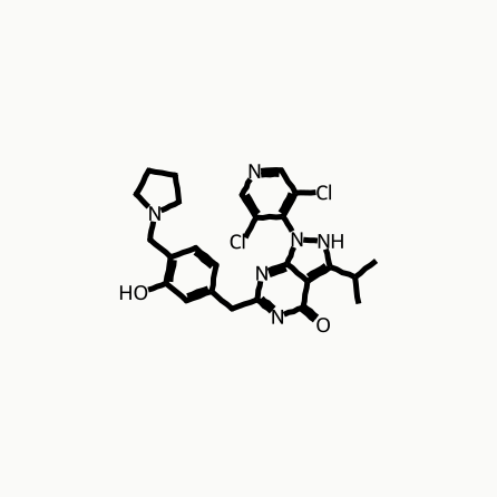 CC(C)c1[nH]n(-c2c(Cl)cncc2Cl)c2nc(Cc3ccc(CN4CCCC4)c(O)c3)nc(=O)c1-2